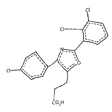 O=C(O)CCc1oc(-c2cccc(Cl)c2Cl)nc1-c1ccc(Cl)cc1